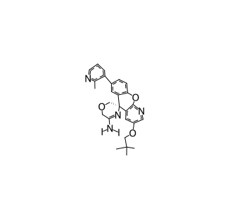 Cc1ncccc1-c1ccc2c(c1)[C@@]1(COCC(N(I)I)=N1)c1cc(OCC(C)(C)C)cnc1O2